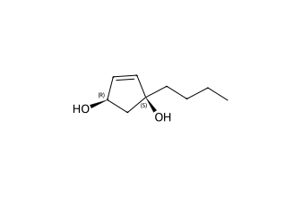 CCCC[C@@]1(O)C=C[C@H](O)C1